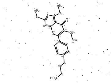 CCCCOc1cc(OCCCC)c2c(=O)c(OCCCC)c(-c3ccc(CCCC(=O)O)cc3)oc2c1